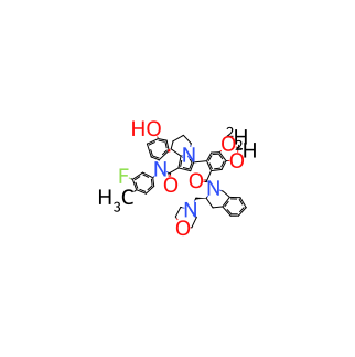 [2H]C1([2H])Oc2cc(C(=O)N3Cc4ccccc4C[C@H]3CN3CCOCC3)c(-c3cc(C(=O)N(c4ccc(O)cc4)c4ccc(C)c(F)c4)c4n3CCCC4)cc2O1